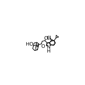 CC(CC(=O)N1CC2CC3CC1CC(O)(C3)C2)c1c[nH]c2ccc(C3CC3)c(Cl)c12